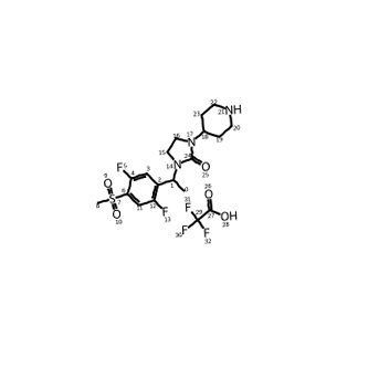 CC(c1cc(F)c(S(C)(=O)=O)cc1F)N1CCN(C2CCNCC2)C1=O.O=C(O)C(F)(F)F